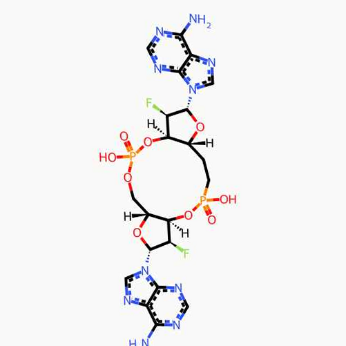 Nc1ncnc2c1ncn2[C@@H]1O[C@@H]2COP(=O)(O)O[C@H]3[C@@H](F)[C@H](n4cnc5c(N)ncnc54)O[C@@H]3CCP(=O)(O)O[C@H]2[C@H]1F